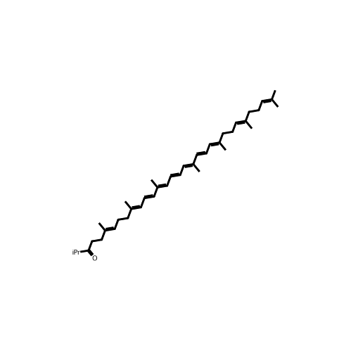 CC(C)=CCC/C(C)=C/CC/C(C)=C/C=C/C(C)=C/C=C/C=C(C)/C=C/C=C(\C)CC/C=C(\C)CCC(=O)C(C)C